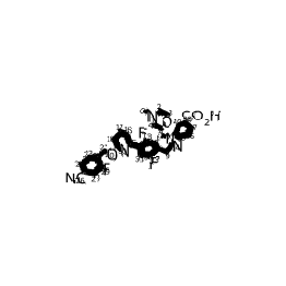 CN1CCO[C@H](Cn2c(Cc3cc(F)c(-c4cccc(OCc5ccc(C#N)cc5F)n4)cc3F)nc3ccc(C(=O)O)cc32)C1